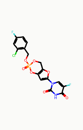 O=c1[nH]c(=O)n(-c2cc3c(o2)COP(=O)(OCc2ccc(F)cc2Cl)O3)cc1F